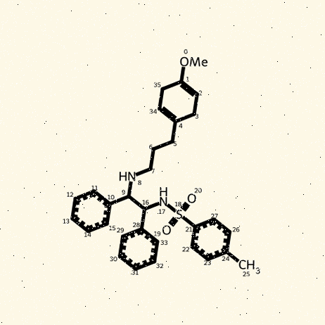 COC1=CCC(CCCNC(c2ccccc2)C(NS(=O)(=O)c2ccc(C)cc2)c2ccccc2)=CC1